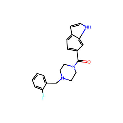 O=C(c1ccc2cc[nH]c2c1)N1CCN(Cc2ccccc2F)CC1